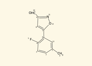 Cc1ccc(F)c(-c2cc(C=O)no2)c1